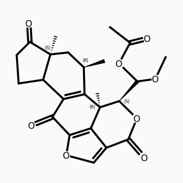 COC(OC(C)=O)[C@H]1OC(=O)c2coc3c2[C@@]1(C)C1=C(C3=O)C2CCC(=O)[C@@]2(C)C[C@H]1C